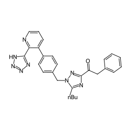 CCCCc1nc(C(=O)Cc2ccccc2)nn1Cc1ccc(-c2cccnc2-c2nnn[nH]2)cc1